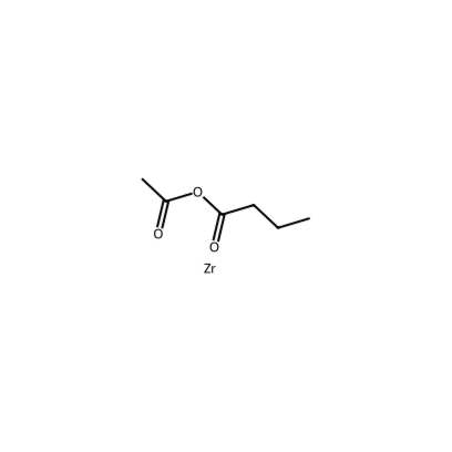 CCCC(=O)OC(C)=O.[Zr]